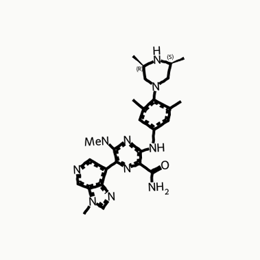 CNc1nc(Nc2cc(C)c(N3C[C@@H](C)N[C@@H](C)C3)c(C)c2)c(C(N)=O)nc1-c1cncc2c1ncn2C